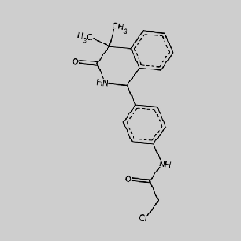 CC1(C)C(=O)NC(c2ccc(NC(=O)CCl)cc2)c2ccccc21